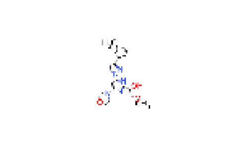 COCC(O)c1nc(N2CCOCC2)cc(-n2ccc(-c3cccc(C)c3)n2)n1